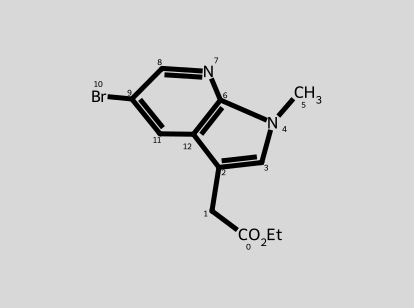 CCOC(=O)Cc1cn(C)c2ncc(Br)cc12